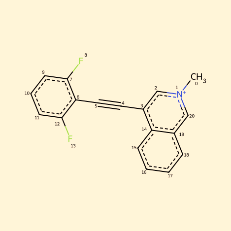 C[n+]1cc(C#Cc2c(F)cccc2F)c2ccccc2c1